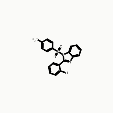 Cc1ccc(S(=O)(=O)n2c(-c3ccccc3Cl)nc3ccccc32)cc1